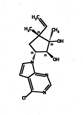 C=C[C@@]1(C)C[C@@H](n2ccc3c(Cl)ncnc32)[C@H](O)[C@]1(C)O